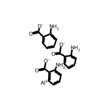 Nc1ccccc1C(=O)[O-].Nc1ccccc1C(=O)[O-].Nc1ccccc1C(=O)[O-].[Al+3]